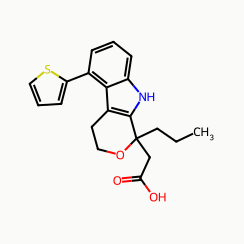 CCCC1(CC(=O)O)OCCc2c1[nH]c1cccc(-c3cccs3)c21